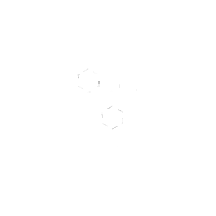 C[C](c1ccc(Cl)cc1)c1ccccc1F